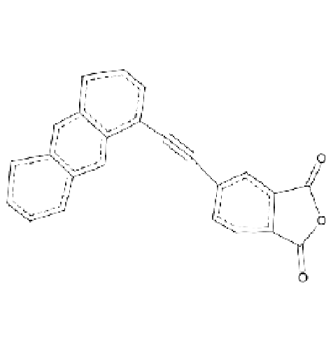 O=C1OC(=O)c2cc(C#Cc3cccc4cc5ccccc5cc34)ccc21